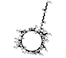 [CH2]CCCCC(=O)OCCCCCC(=O)OCOC(=O)OC(C1C(=O)NC(CC)C(=O)N(C)CC(=O)N(C)[C@@H](CC(C)C)C(=O)NC(C(C)C)C(=O)N(C)[C@H](CC(C)C)C(=O)NC(C)C(=O)NC(C)C(=O)N(C)[C@H](CC(C)C)C(=O)N(C)C(CC(C)C)C(=O)N(C)[C@H](C(C)C)C(=O)N1C)[C@H](C)C/C=C/C